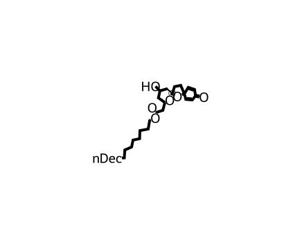 CCCCCCCCCCCCCCCCCCOC(=O)CC1CC(O)C[C@]2(CCC3(C=CC(=O)C=C3)O2)O1